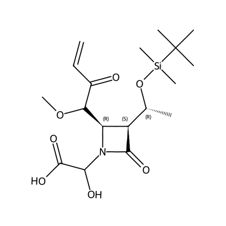 C=CC(=O)C(OC)[C@H]1[C@@H]([C@@H](C)O[Si](C)(C)C(C)(C)C)C(=O)N1C(O)C(=O)O